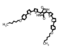 CCCCCCOc1ccc(-c2ccc(-c3ccc(C4=C5C(=O)NC(c6ccc(-c7ccc(-c8ccc(OCCCCCC)cc8)s7)s6)=C5C(=O)N4)s3)s2)cc1